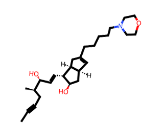 CC#CC[C@@H](C)[C@H](O)/C=C/[C@@H]1[C@H]2CC(CCCCCN3CCOCC3)=C[C@H]2C[C@H]1O